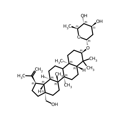 C=C(C)[C@@H]1CC[C@]2(CO)CC[C@]3(C)[C@H](CCC4[C@@]5(C)CC[C@@H](O[C@H]6C[C@H](O)[C@@H](O)[C@H](C)O6)C(C)(C)[C@@H]5CC[C@]43C)[C@@H]12